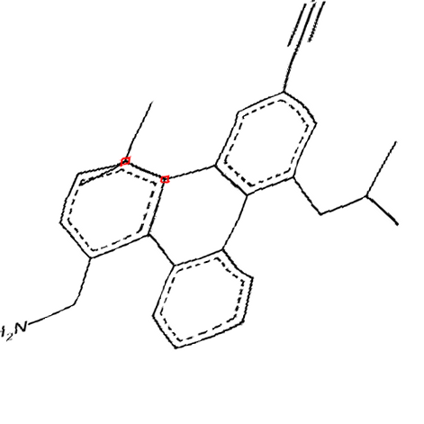 CC(C)Cc1cc(C#N)cc(CC(C)C)c1-c1ccccc1-c1ccccc1CN